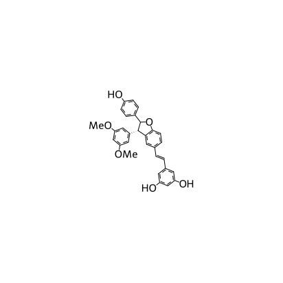 COc1cc(OC)cc([C@H]2c3cc(/C=C/c4cc(O)cc(O)c4)ccc3OC2c2ccc(O)cc2)c1